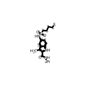 Cc1c(C(=O)NC(C)C)[nH]c2ccc(NS(=O)(=O)CCCCF)cc12